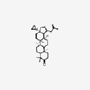 C=C(C)C[C@@H]1CC[C@]2(N3CC3)CC[C@]3(C)[C@H](CCC4[C@@]5(C)CCC(=O)C(C)(C)C5CC[C@]43C)C12